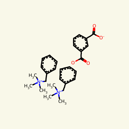 C[N+](C)(C)Cc1ccccc1.C[N+](C)(C)Cc1ccccc1.O=C([O-])c1cccc(C(=O)[O-])c1